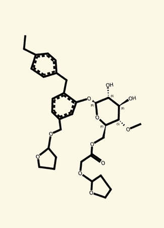 CCc1ccc(Cc2ccc(COC3CCCO3)cc2O[C@H]2O[C@H](COC(=O)COC3CCCO3)[C@@H](OC)[C@H](O)[C@H]2O)cc1